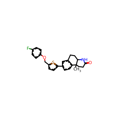 CC12CCC(=O)NC1CCc1cc(-c3ccc(COc4ccc(F)cc4)s3)ccc12